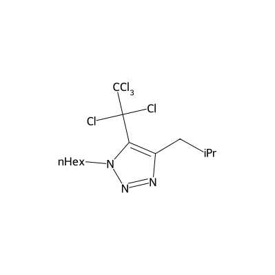 CCCCCCn1nnc(CC(C)C)c1C(Cl)(Cl)C(Cl)(Cl)Cl